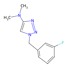 CN(C)c1cn(Cc2cccc(F)c2)nn1